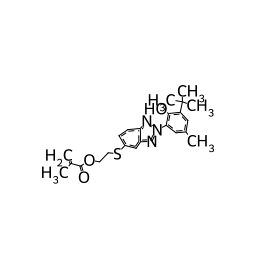 C=C(C)C(=O)OCCSc1ccc2nn(-c3cc(C)cc(C(C)(C)C)c3O)nc2c1